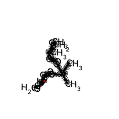 C=CC(=O)OCC1CC2C3CC(COC(=O)C4CCC(C(=O)OCCCCCCC5C(CCCCCC)CCC(CCCCCCCC)C5CCCCCCOC(=O)C5CCC(C(=O)OCC6CCC(C7CC(COC(=O)C(=C)C)C[C@@H]7C)C6)CC5)CC4)C(C3)[C@H]2C1